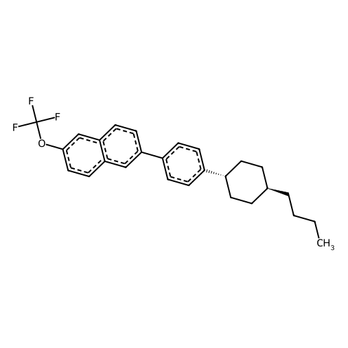 CCCC[C@H]1CC[C@H](c2ccc(-c3ccc4cc(OC(F)(F)F)ccc4c3)cc2)CC1